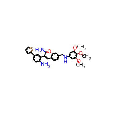 COc1cc(NCc2ccc(/C=C(\C(N)=O)c3cc(-c4cccs4)ccc3N)cc2)cc(OC)c1OC